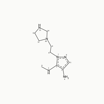 CNc1c(N)cnn1CCN1CCNC1